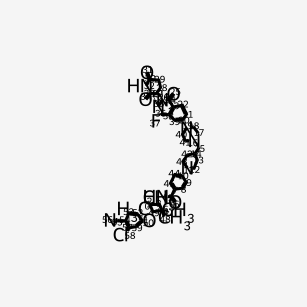 CC1(C)[C@H](NC(=O)c2ccc(N3CCC(CN4CCN(c5ccc6c(=O)n([C@H]7CCC(=O)NC7=O)nc(F)c6c5)CC4)CC3)cc2)C(C)(C)[C@H]1Oc1ccc(C#N)c(Cl)c1